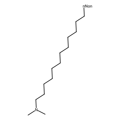 CCCCCCCCCCCCCCCCCCCCCN(C)C